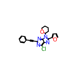 Clc1nc(C#Cc2ccccc2)nc2c1nc(-c1ccco1)n2C1CCCCO1